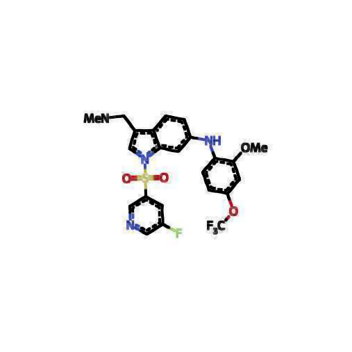 CNCc1cn(S(=O)(=O)c2cncc(F)c2)c2cc(Nc3ccc(OC(F)(F)F)cc3OC)ccc12